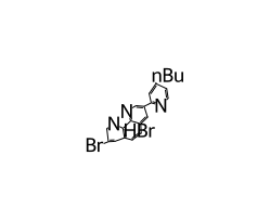 Br.CCCCc1ccnc(-c2cnc3c(ccc4cc(Br)cnc43)c2)c1